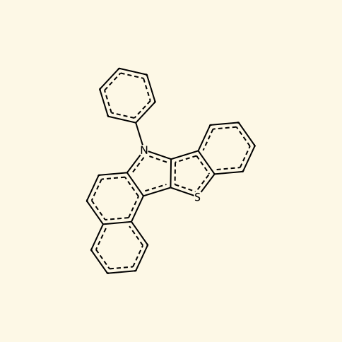 c1ccc(-n2c3ccc4ccccc4c3c3sc4ccccc4c32)cc1